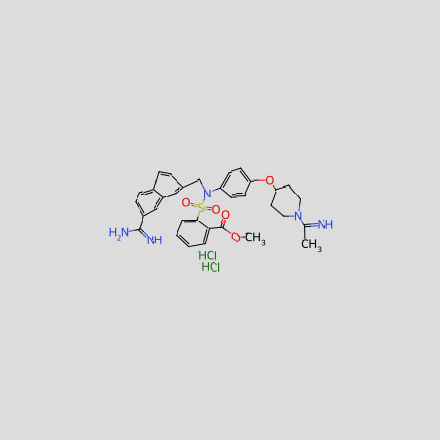 COC(=O)c1ccccc1S(=O)(=O)N(Cc1ccc2ccc(C(=N)N)cc2c1)c1ccc(OC2CCN(C(C)=N)CC2)cc1.Cl.Cl